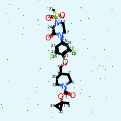 CC1(OC(=O)N2CCC(COc3c(F)cc(N4CCN(S(C)(=O)=O)CC4=O)cc3F)CC2)CC1